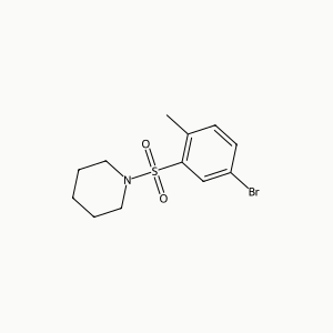 Cc1ccc(Br)cc1S(=O)(=O)N1CCCCC1